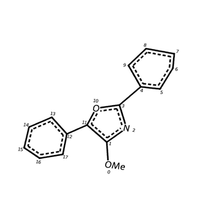 COc1nc(-c2ccccc2)oc1-c1ccccc1